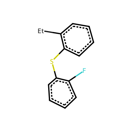 CCc1ccccc1Sc1ccccc1F